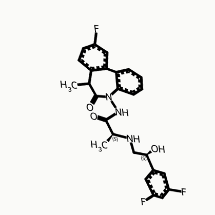 CC1C(=O)N(NC(=O)[C@H](C)NC[C@@H](O)c2cc(F)cc(F)c2)c2ccccc2-c2cc(F)ccc21